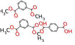 COC(=O)c1cccc(C(=O)OC)c1.COC(=O)c1cccc(C(=O)OC)c1.O=C(O)c1ccc(C(=O)O)cc1